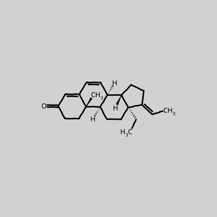 C/C=C1\CC[C@H]2[C@@H]3C=CC4=CC(=O)CC[C@@]4(C)[C@@H]3CC[C@]12CC